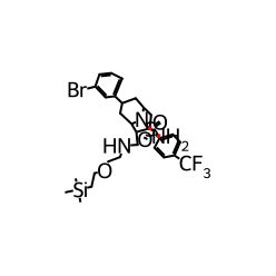 C[Si](C)(C)CCOCCNCC1C(N)CC2CC(c3cccc(Br)c3)CC1N2S(=O)(=O)c1ccc(C(F)(F)F)cc1